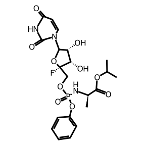 CC(C)OC(=O)[C@@H](C)NP(=O)(OC[C@@]1(F)OC(n2ccc(=O)[nH]c2=O)[C@H](O)[C@@H]1O)Oc1ccccc1